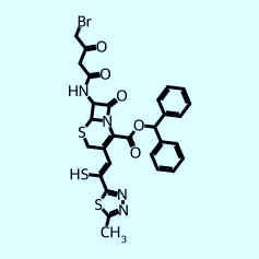 Cc1nnc(C(S)=CC2=C(C(=O)OC(c3ccccc3)c3ccccc3)N3C(=O)C(NC(=O)CC(=O)CBr)C3SC2)s1